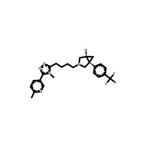 Cc1ccc(-c2nnc(CCCCN3C[C@@H]4C[C@]4(c4ccc(C(F)(F)F)cc4)C3)n2C)cn1